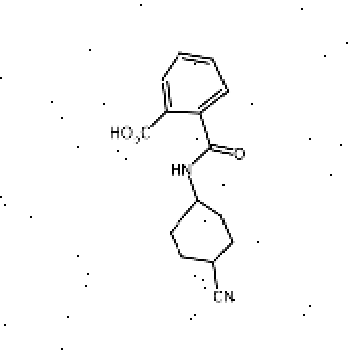 N#CC1CCC(NC(=O)c2ccccc2C(=O)O)CC1